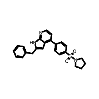 O=S(=O)(c1ccc(-c2ccnc3[nH]c(Cc4ccccc4)cc23)cc1)N1CCCC1